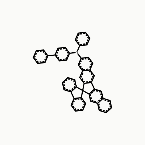 c1ccc(-c2ccc(N(c3ccccc3)c3ccc4cc5c(cc4c3)C3(c4ccccc4-c4ccccc43)c3cc4ccccc4cc3-5)cc2)cc1